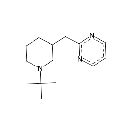 CC(C)(C)N1CCCC(Cc2ncccn2)C1